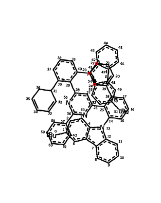 CC(C)(C)c1ccc2c(c1)c1ccccc1n2-c1cccc(C2=CCCC=C2)c1-c1cc(-c2c(C3C=CC=CC3)cccc2-n2c3ccccc3c3cc(C(C)(C)C)ccc32)nc(-c2ccccc2)n1